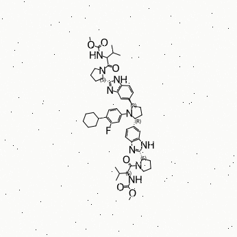 COC(=O)NC(C(=O)N1CCC[C@H]1c1nc2cc([C@H]3CC[C@H](c4ccc5nc([C@@H]6CCCN6C(=O)[C@@H](NC(=O)OC)C(C)C)[nH]c5c4)N3c3ccc(C4CCCCC4)c(F)c3)ccc2[nH]1)C(C)C